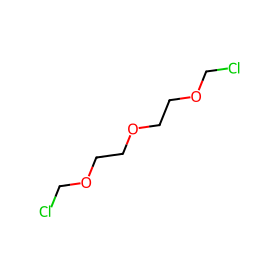 ClCOCCOCCOCCl